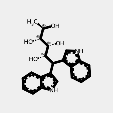 C[C@@H](O)[C@@H](O)[C@H](O)[C@@H](O)C(c1c[nH]c2ccccc12)c1c[nH]c2ccccc12